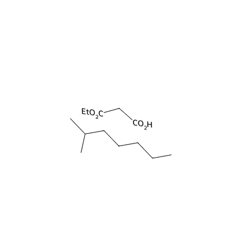 CCCCCC(C)C.CCOC(=O)CC(=O)O